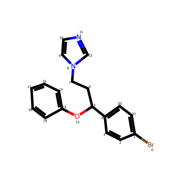 Brc1ccc(C(CCn2ccnc2)Oc2ccccc2)cc1